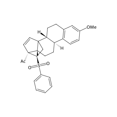 COc1ccc2c(c1)CC[C@@H]1[C@@H]2CC[C@@]2(C)C13C=C[C@]2(C(C)=O)[C@H](S(=O)(=O)c1ccccc1)C3